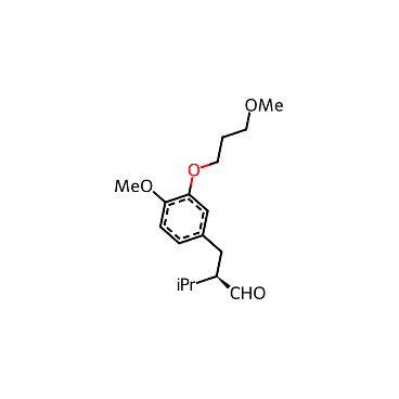 COCCCOc1cc(C[C@@H](C=O)C(C)C)ccc1OC